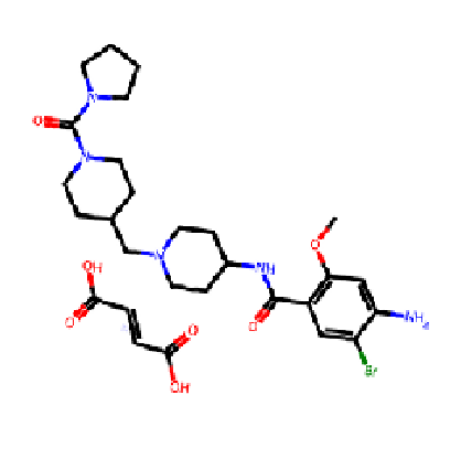 COc1cc(N)c(Br)cc1C(=O)NC1CCN(CC2CCN(C(=O)N3CCCC3)CC2)CC1.O=C(O)/C=C/C(=O)O